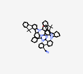 CC1(C)c2ccccc2-c2ccc3c(c21)c1ccccc1n3-c1cccc(C#N)c1-c1nc(-c2ccccc2)nc(-c2c(-c3ccccc3C#N)cccc2-n2c3ccccc3c3c4c(ccc32)-c2ccccc2C4(C)C)n1